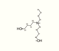 CCCCN(CCCCO)CCCCO